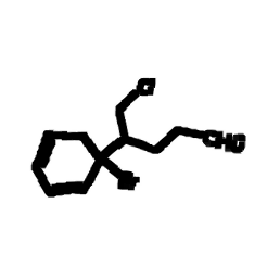 O=CCCC(CCl)C1(Br)C=CC=CC1